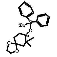 CC1(C)CC2(CC[C@H]1O[Si](c1ccccc1)(c1ccccc1)C(C)(C)C)OCCO2